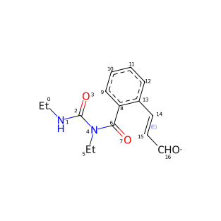 CCNC(=O)N(CC)C(=O)c1ccccc1/C=C/[C]=O